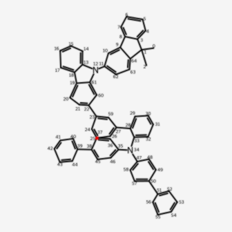 CC1(C)c2ccccc2-c2cc(-n3c4ccccc4c4ccc(-c5cccc(-c6ccccc6N(c6ccc(-c7ccccc7)cc6)c6ccc(-c7ccccc7)cc6)c5)cc43)ccc21